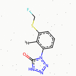 [3H]c1c(SCF)cccc1-n1nn[nH]c1=O